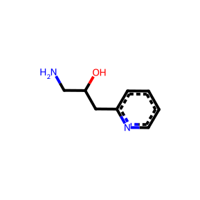 NCC(O)Cc1ccccn1